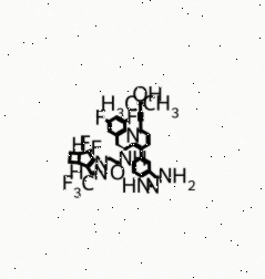 CC(C)(O)C#Cc1ccc(-c2ccc3[nH]nc(N)c3c2)c([C@H](Cc2cc(F)cc(F)c2)NC(=O)Cn2nc(C(F)(F)F)c3c2C(F)(F)[C@@H]2CC[C@H]32)n1